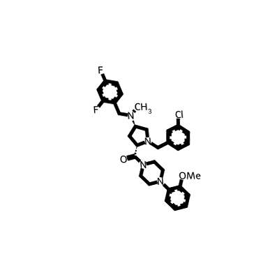 COc1ccccc1N1CCN(C(=O)[C@@H]2C[C@H](N(C)Cc3ccc(F)cc3F)CN2Cc2cccc(Cl)c2)CC1